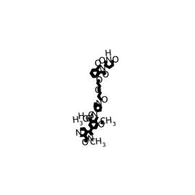 COc1cc(-c2cn(C)c(=O)c3cnccc23)cc(OC)c1CN(C)C1CC2CC1CN2C(=O)CCOCCOc1cccc2c1C(=O)N(C1CCC(=O)NC1=O)C2=O